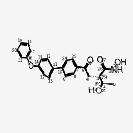 C[C@@H](O)[C@H](CC(=O)c1ccc(-c2ccc(Oc3ccccc3)cc2)cc1)C(=O)NO